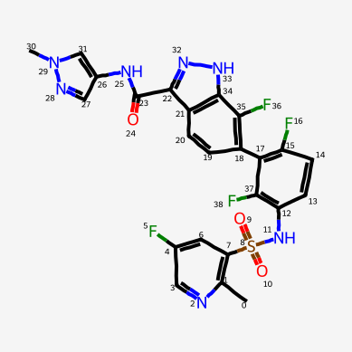 Cc1ncc(F)cc1S(=O)(=O)Nc1ccc(F)c(-c2ccc3c(C(=O)Nc4cnn(C)c4)n[nH]c3c2F)c1F